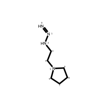 N=NNCCN1CCCC1